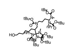 CCCCN(C(=O)OC(C)(C)C)C(C(CCCCCCO)CN(CCCC(N(C)C(=O)OC(C)(C)C)N(CCC)C(=O)OC(C)(C)C)C(=O)OC(C)(C)C)(N(C)C(=O)OC(C)(C)C)N(CCC)C(=O)OC(C)(C)C